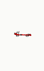 O=C(CCCCCCCCCCNC(=O)OCc1ccccc1)NCc1ccncc1